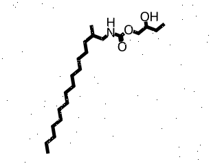 CCCCCCCCCCCCCCC(C)CNC(=O)OCC(O)CC